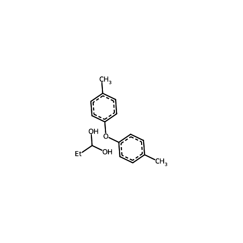 CCC(O)O.Cc1ccc(Oc2ccc(C)cc2)cc1